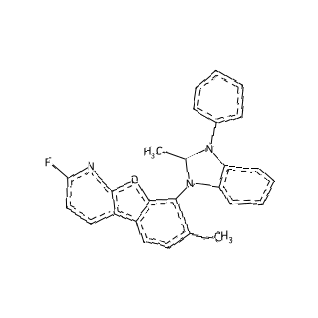 Cc1ccc2c(oc3nc(F)ccc32)c1N1c2ccccc2N(c2ccccc2)C1C